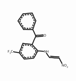 O=C(c1ccccc1)c1cc(C(F)(F)F)ccc1NC=C[N+](=O)[O-]